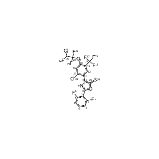 Fc1cccc(F)c1-c1nn(-c2cc(C(F)(F)F)c(OC(F)(F)C(F)Cl)cc2Cl)c(=S)o1